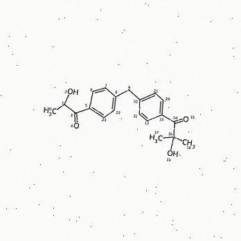 CC(O)C(=O)c1ccc(Cc2ccc(C(=O)C(C)(C)O)cc2)cc1